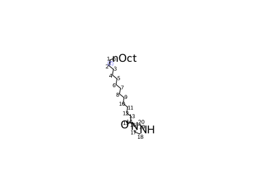 CCCCCCCC/C=C\CCCCCCCCCCCC(=O)N1CCNC1